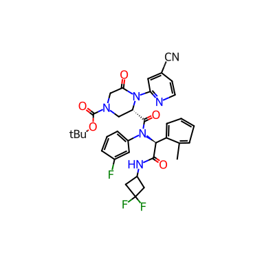 Cc1ccccc1[C@@H](C(=O)NC1CC(F)(F)C1)N(C(=O)[C@@H]1CN(C(=O)OC(C)(C)C)CC(=O)N1c1cc(C#N)ccn1)c1cccc(F)c1